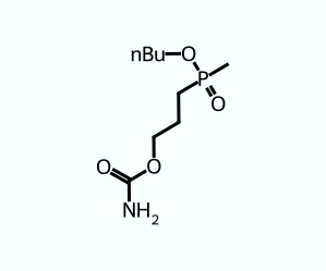 CCCCOP(C)(=O)CCCOC(N)=O